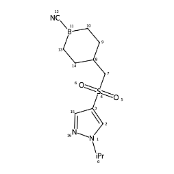 CC(C)n1cc(S(=O)(=O)CC2CCB(C#N)CC2)cn1